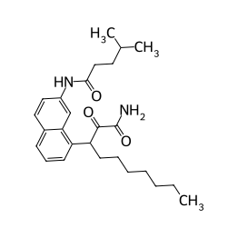 CCCCCCCC(C(=O)C(N)=O)c1cccc2ccc(NC(=O)CCC(C)C)cc12